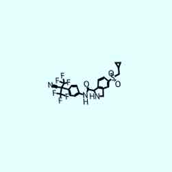 N#CC(c1ccc(NC(=O)C2NCc3cc(S(=O)(=O)CC4CC4)ccc32)cc1)(C(F)(F)F)C(F)(F)F